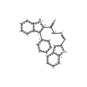 O=C(N/N=C\c1cc2ccccc2o1)c1[nH]c2ccccc2c1-c1ccccc1